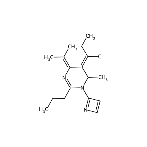 CCCC1=NC(=C(C)C)/C(=C(/Cl)CC)C(C)N1C1=NC=C1